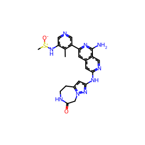 Cc1c(N[S+](C)[O-])cncc1-c1cc2cc(Nc3cc4n(n3)CC(=O)NCC4)ncc2c(N)n1